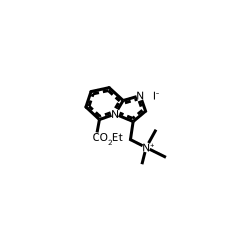 CCOC(=O)c1cccc2ncc(C[N+](C)(C)C)n12.[I-]